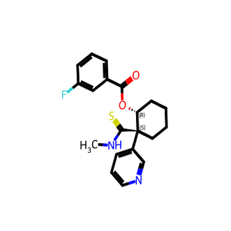 CNC(=S)[C@]1(c2cccnc2)CCCC[C@H]1OC(=O)c1cccc(F)c1